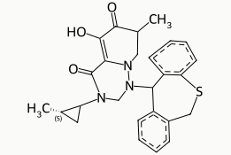 CC1CN2C(=C(O)C1=O)C(=O)N(C1C[C@@H]1C)CN2C1c2ccccc2CSc2ccccc21